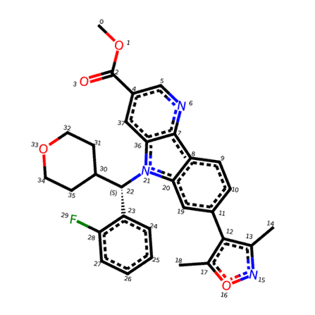 COC(=O)c1cnc2c3ccc(-c4c(C)noc4C)cc3n([C@H](c3ccccc3F)C3CCOCC3)c2c1